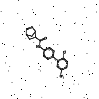 O=C(Nc1ccc(-c2cc(C(F)(F)F)ccc2Cl)cc1)C1CC2C=CC1C2